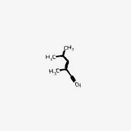 C#C/C(C)=C/C(C)C